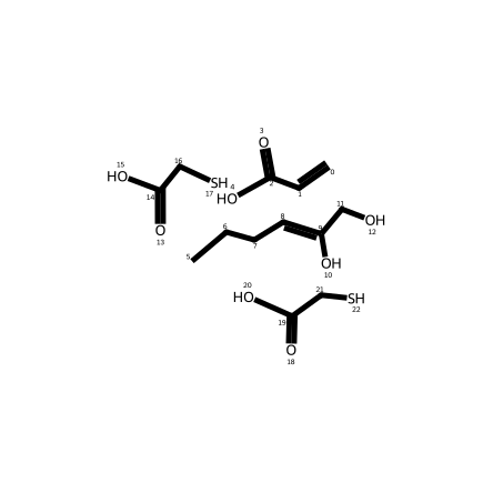 C=CC(=O)O.CCCC=C(O)CO.O=C(O)CS.O=C(O)CS